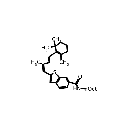 CCCCCCCCNC(=O)c1ccc2cc(C=C(C)C=CC3=C(C)CCCC3(C)C)sc2c1